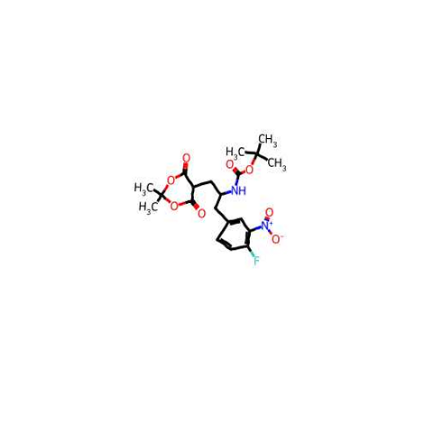 CC(C)(C)OC(=O)NC(Cc1ccc(F)c([N+](=O)[O-])c1)CC1C(=O)OC(C)(C)OC1=O